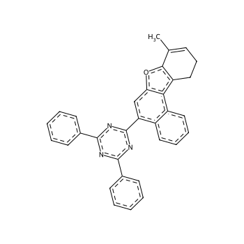 CC1=CCCc2c1oc1cc(-c3nc(-c4ccccc4)nc(-c4ccccc4)n3)c3ccccc3c21